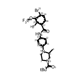 CC1CN(C(=O)C(C)(C)C)CCN1c1ccc(NC(=O)c2ccc(Br)c(OC(F)(F)F)c2F)cn1